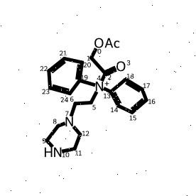 CC(=O)OCC(=O)[N+](CCN1CCNCC1)(c1ccccc1)c1ccccc1